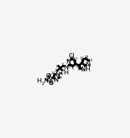 CC(C)(CNc1cc(-c2c[nH]c3ncccc23)cc(Cl)n1)C[N+]1(C)C=NC(S(N)(=O)=O)=C1